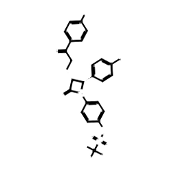 O=C(CC[C@H]1C(=O)N(c2ccc(OS(=O)(=O)C(F)(F)F)cc2)[C@@H]1c1ccc(I)cc1)c1ccc(F)cc1